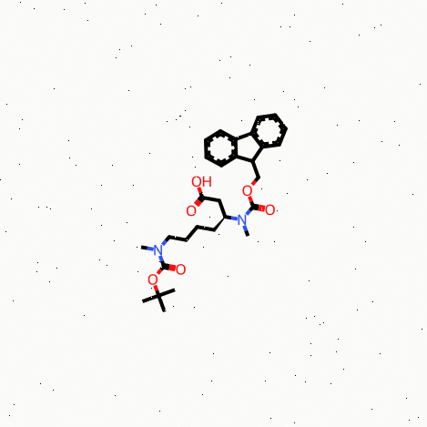 CN(CCCC[C@@H](CC(=O)O)N(C)C(=O)OCC1c2ccccc2-c2ccccc21)C(=O)OC(C)(C)C